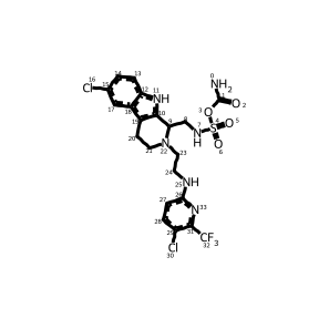 NC(=O)OS(=O)(=O)NCC1c2[nH]c3ccc(Cl)cc3c2CCN1CCNc1ccc(Cl)c(C(F)(F)F)n1